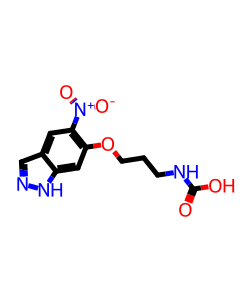 O=C(O)NCCCOc1cc2[nH]ncc2cc1[N+](=O)[O-]